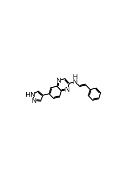 C(=Cc1ccccc1)Nc1cnc2cc(-c3cn[nH]c3)ccc2n1